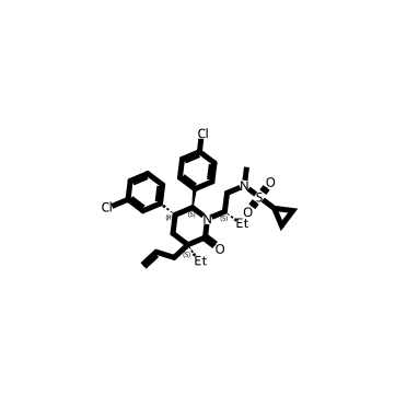 C=CC[C@@]1(CC)C[C@H](c2cccc(Cl)c2)[C@@H](c2ccc(Cl)cc2)N([C@@H](CC)CN(C)S(=O)(=O)C2CC2)C1=O